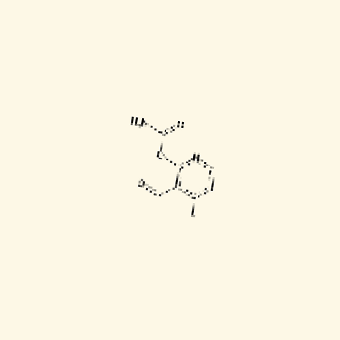 NC(=O)Oc1nccc(F)c1C=O